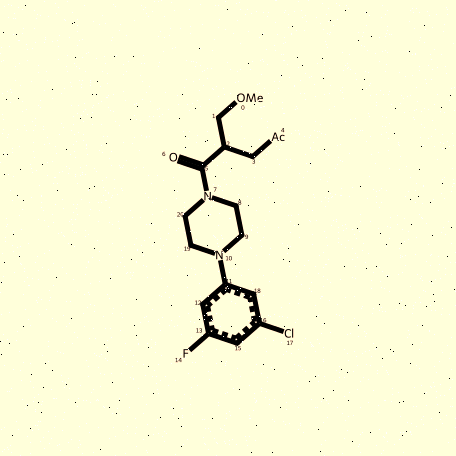 COCC(CC(C)=O)C(=O)N1CCN(c2cc(F)cc(Cl)c2)CC1